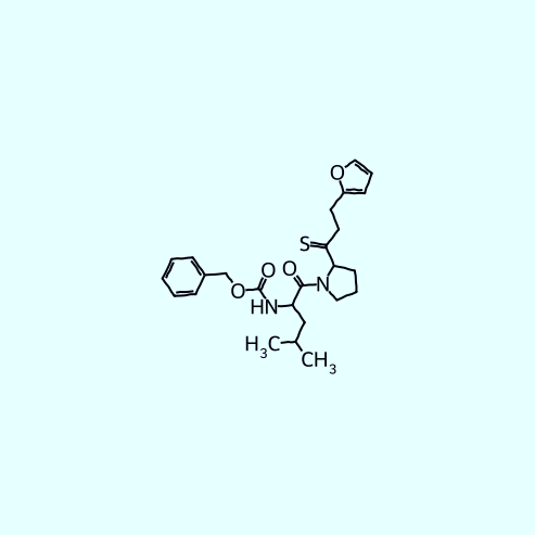 CC(C)CC(NC(=O)OCc1ccccc1)C(=O)N1CCCC1C(=S)CCc1ccco1